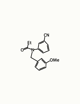 CCC(=O)N(Cc1cccc(OC)c1)c1cccc(C#N)c1